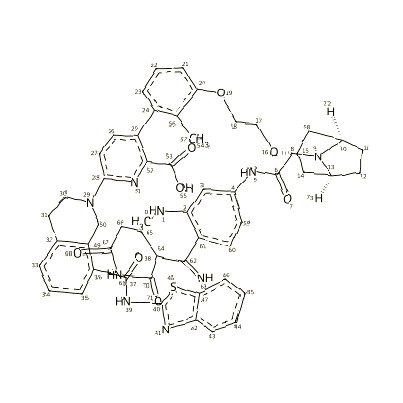 CNc1cc(NC(=O)CN2[C@@H]3CC[C@H]2C[C@H](OCCOc2cccc(-c4ccc(N5CCc6cccc(C(=O)Nc7nc8ccccc8s7)c6C5)nc4C(=O)O)c2C)C3)ccc1C(=N)C1CCC(=O)NC1=O